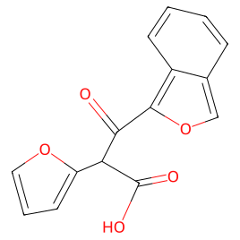 O=C(O)C(C(=O)c1occ2ccccc12)c1ccco1